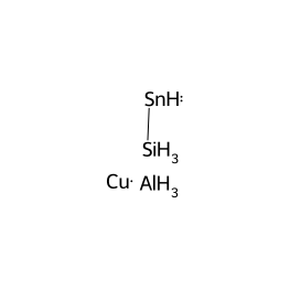 [AlH3].[Cu].[SiH3][SnH]